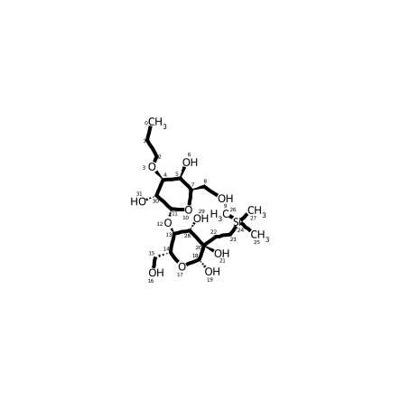 CCCO[C@H]1[C@@H](O)[C@@H](CO)O[C@H](O[C@H]2[C@@H](CO)O[C@@H](O)[C@@](O)(CC[Si](C)(C)C)[C@H]2O)[C@@H]1O